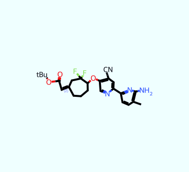 Cc1ccc(-c2cc(C#N)c(OC3CCC/C(=C/C(=O)OC(C)(C)C)CC3(F)F)cn2)nc1N